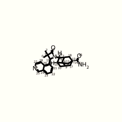 CC1(C)C(=O)N([C@@H]2C3CC4C[C@H]2C[C@@](C(N)=O)(C4)C3)C1c1cccc2cnccc12